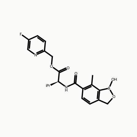 Cc1c(C(=O)N[C@H](C(=O)OCc2ccc(F)cn2)C(C)C)ccc2c1B(O)OC2